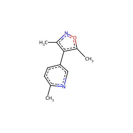 Cc1ccc(-c2c(C)noc2C)cn1